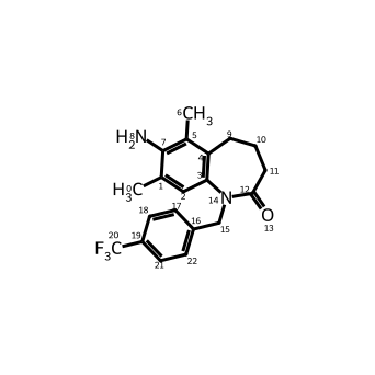 Cc1cc2c(c(C)c1N)CCCC(=O)N2Cc1ccc(C(F)(F)F)cc1